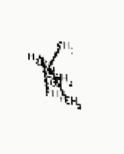 C=CC(=O)OCCCCCCCCCCCC.CCCCCCCCCCCC(=O)OC(=O)CCC(N)C(=O)OCCCCCCCC